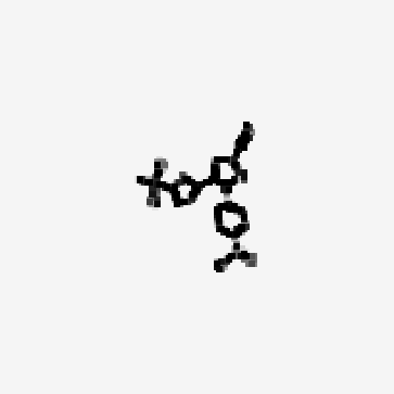 CS(=O)(=O)c1ccc(-c2cc(C#N)nn2-c2ccc([N+](=O)[O-])cc2)s1